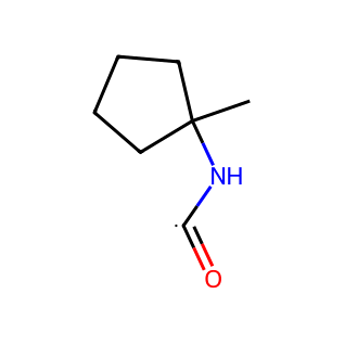 CC1(N[C]=O)CCCC1